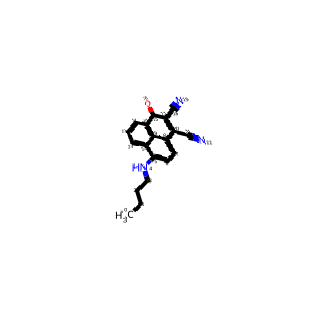 CCCCNc1ccc2c3c(cccc13)C(=O)C(C#N)=C2C#N